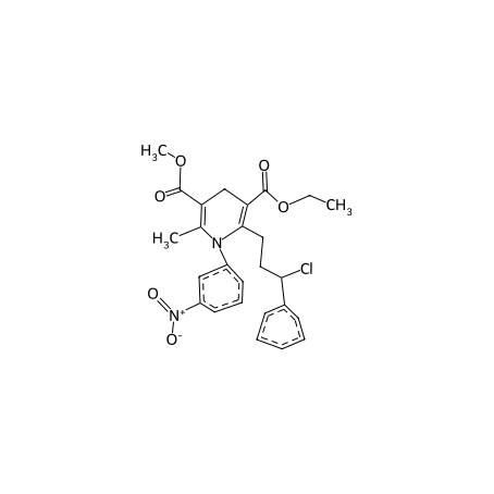 CCOC(=O)C1=C(CCC(Cl)c2ccccc2)N(c2cccc([N+](=O)[O-])c2)C(C)=C(C(=O)OC)C1